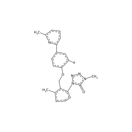 Cc1cccc(-c2ccc(OCc3c(C)cccc3-n3nnn(C)c3=O)c(F)c2)n1